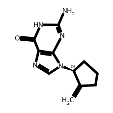 C=C1CCC[C@@H]1n1cnc2c(=O)[nH]c(N)nc21